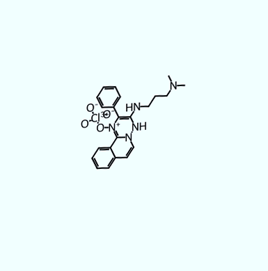 CN(C)CCCNC1=C(c2ccccc2)[N+](O[Cl+3]([O-])([O-])[O-])=C2c3ccccc3C=CN2N1